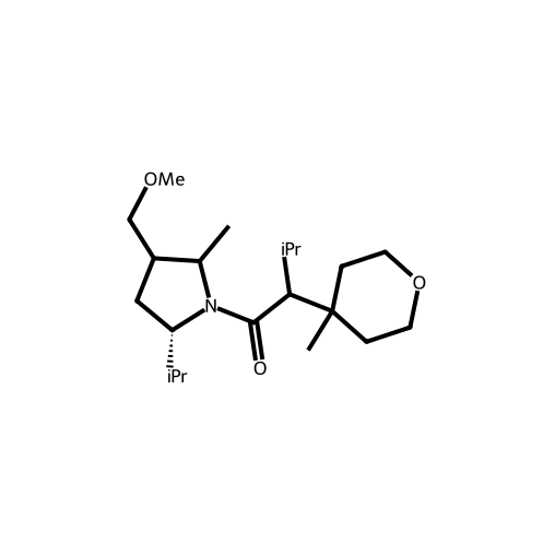 COCC1C[C@@H](C(C)C)N(C(=O)C(C(C)C)C2(C)CCOCC2)C1C